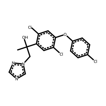 CC(O)(Cn1cncn1)c1cc(Cl)c(Oc2ccc(Cl)cc2)cc1Cl